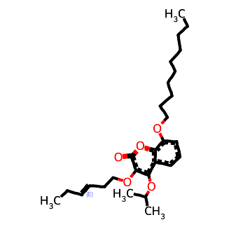 CC/C=C/CCOc1c(OC(C)C)c2cccc(OCCCCCCCCCC)c2oc1=O